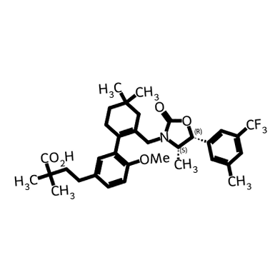 COc1ccc(CCC(C)(C)C(=O)O)cc1C1=C(CN2C(=O)O[C@H](c3cc(C)cc(C(F)(F)F)c3)[C@@H]2C)CC(C)(C)CC1